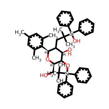 Cc1cc(C)c([C@@H]2O[C@H](CO)C(O[Si](c3ccccc3)(c3ccccc3)C(C)(C)C)[C@H](O)C2CC(C)(C)[Si](O)(c2ccccc2)c2ccccc2)c(C)c1